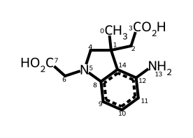 CC1(CC(=O)O)CN(CC(=O)O)c2cccc(N)c21